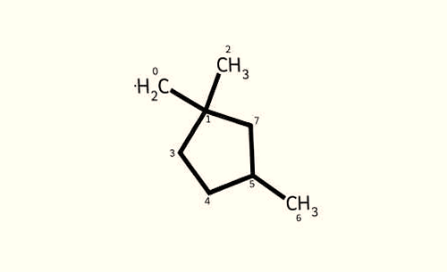 [CH2]C1(C)CCC(C)C1